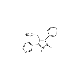 Cn1c(-c2ccccc2)c(CC(=O)O)c(-c2ccccc2)[n+]1C